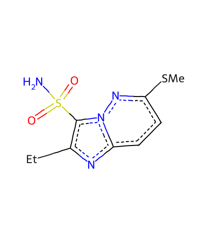 CCc1nc2ccc(SC)nn2c1S(N)(=O)=O